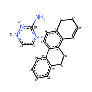 C1=Cc2c(ccc3c2CCc2ccccc2-3)CC1.Nc1nccnn1